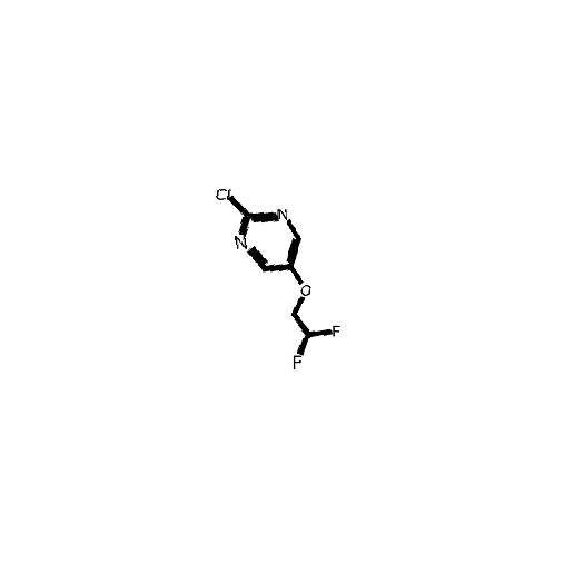 FC(F)COc1cnc(Cl)nc1